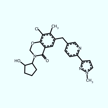 Cc1c(Cc2ccc(-c3ccn(C)n3)nc2)cc2c(c1Cl)OCN(C1CCCC1O)C2=O